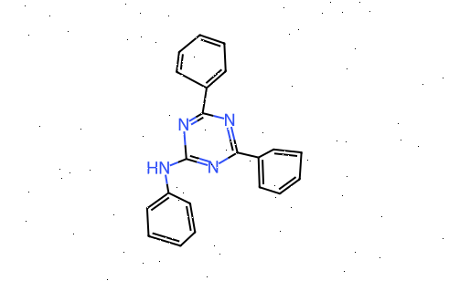 c1ccc(Nc2nc(-c3ccccc3)nc(-c3ccccc3)n2)cc1